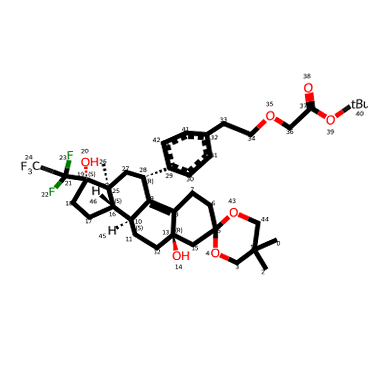 CC1(C)COC2(CCC3=C4[C@@H](CC[C@@]3(O)C2)[C@@H]2CC[C@@](O)(C(F)(F)C(F)(F)F)[C@@]2(C)C[C@@H]4c2ccc(CCOCC(=O)OC(C)(C)C)cc2)OC1